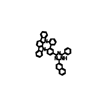 c1ccc(C2=NC(c3ccc4c(c3)c3ccccc3n3c5ccccc5c5ccc6c7ccccc7n4c6c53)=NC(c3ccc4ccccc4c3)N2)cc1